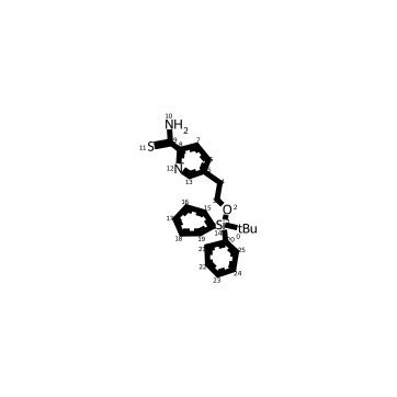 CC(C)(C)[Si](OCCc1ccc(C(N)=S)nc1)(c1ccccc1)c1ccccc1